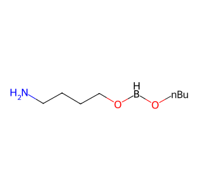 CCCCOBOCCCCN